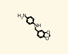 Nc1ccc(NCc2ccc3c(c2)OCO3)cc1